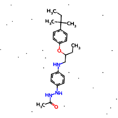 CCC(CNc1ccc(NNC(C)=O)cc1)Oc1ccc(C(C)(C)CC)cc1